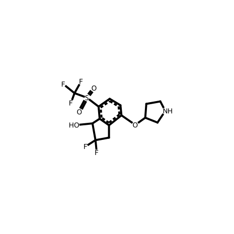 O=S(=O)(c1ccc(OC2CCNC2)c2c1C(O)C(F)(F)C2)C(F)(F)F